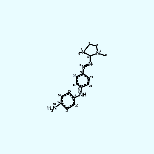 CN1CCN(C)C1N=Nc1ccc(Nc2ccc(N)cc2)cc1